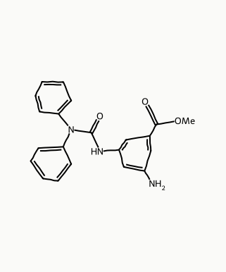 COC(=O)c1cc(N)cc(NC(=O)N(c2ccccc2)c2ccccc2)c1